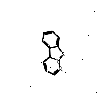 C1=CC2c3ccccc3SN2N=C1